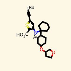 CC(=O)N(c1cc(C#CC(C)(C)C)sc1C(=O)O)C1(C2CCC(OC3CCOC3)CC2)CCCCC1